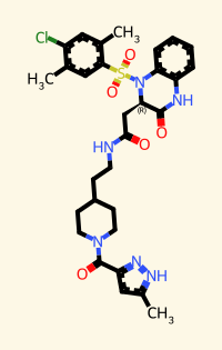 Cc1cc(C(=O)N2CCC(CCNC(=O)C[C@@H]3C(=O)Nc4ccccc4N3S(=O)(=O)c3cc(C)c(Cl)cc3C)CC2)n[nH]1